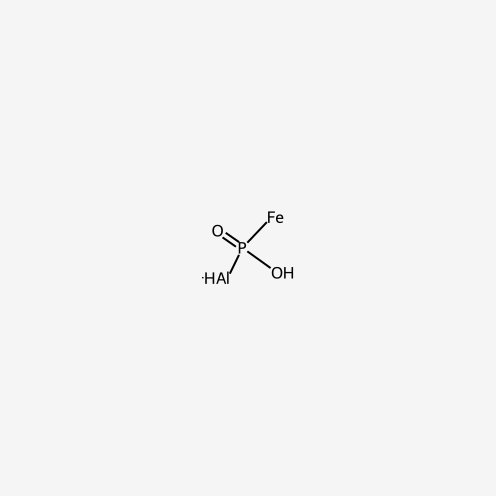 O=[P](O)([AlH])[Fe]